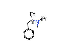 CC[C@@H](Cc1ccccc1)N(C)C(C)C